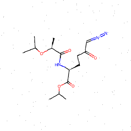 CC(C)OC(=O)[C@H](CCC(=O)C=[N+]=[N-])NC(=O)[C@H](C)OC(C)C